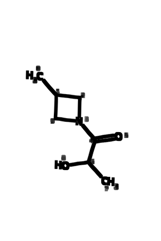 CC1CN(C(=O)C(C)O)C1